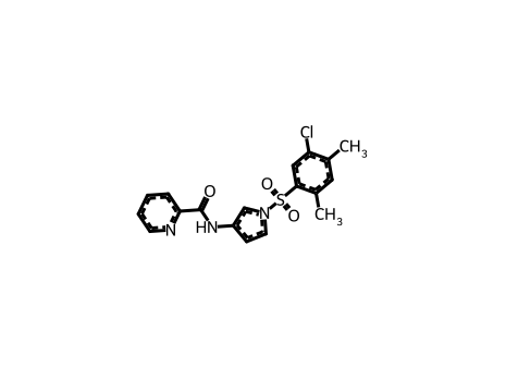 Cc1cc(C)c(S(=O)(=O)n2ccc(NC(=O)c3ccccn3)c2)cc1Cl